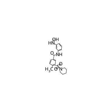 Cc1ccc(C(=O)Nc2cccc(NO)c2)cc1S(=O)(=O)N1CCCCC1